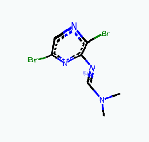 CN(C)/C=N/c1nc(Br)cnc1Br